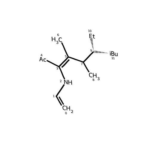 C=CN/C(C(C)=O)=C(/C)C(C)[C@H](CC)[C@@H](C)CC